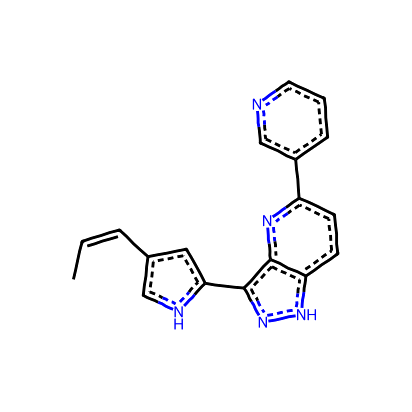 C/C=C\c1c[nH]c(-c2n[nH]c3ccc(-c4cccnc4)nc23)c1